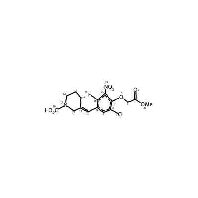 COC(=O)COc1c(Cl)cc(C=C2CCCN(C(=O)O)C2)c(F)c1[N+](=O)[O-]